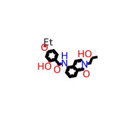 CCOc1ccc(C(=O)Nc2cccc3c(=O)n(CC(C)O)ccc23)c(O)c1